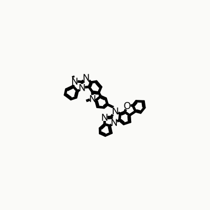 Cn1c2ccc(Cn3c4c5oc6ccccc6c5ccc4n4c5ccccc5nc34)cc2c2ccc3nc4n(C)c5ccccc5n4c3c21